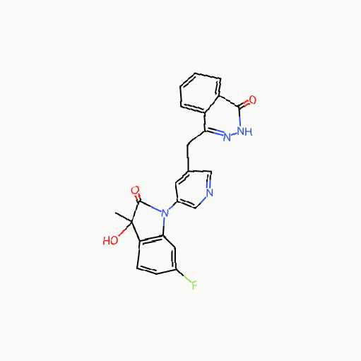 CC1(O)C(=O)N(c2cncc(Cc3n[nH]c(=O)c4ccccc34)c2)c2cc(F)ccc21